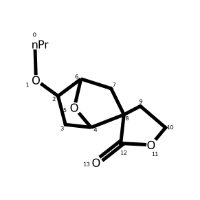 CCCOC1CC2OC1CC21CCOC1=O